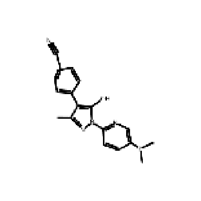 Cc1nn(-c2ccc(P(C)C)cn2)c(O)c1-c1ccc(C#N)cc1